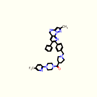 Cc1cc2ncc3cc(-c4ccccc4)c(-c4ccc(CN5CCC(C(=O)N6CCN(c7ccc(C(F)(F)F)cn7)CC6)CC5)cc4)nc3n2n1